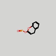 O=POC1=CCc2ccccc2O1